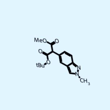 COC(=O)C(C(=O)OC(C)(C)C)c1ccc2nn(C)cc2c1